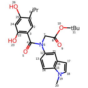 CC(C)c1cc(C(=O)N(CC(=O)OC(C)(C)C)c2ccc3c(ccn3C)c2)c(O)cc1O